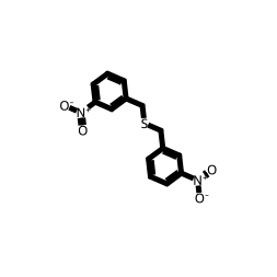 O=[N+]([O-])c1cccc(CSCc2cccc([N+](=O)[O-])c2)c1